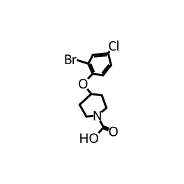 O=C(O)N1CCC(Oc2ccc(Cl)cc2Br)CC1